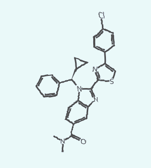 CN(C)C(=O)c1ccc2c(c1)nc(-c1nc(-c3ccc(Cl)cc3)cs1)n2[C@@H](c1ccccc1)C1CC1